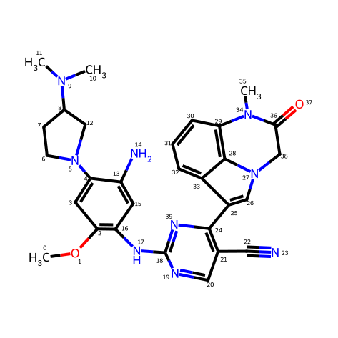 COc1cc(N2CCC(N(C)C)C2)c(N)cc1Nc1ncc(C#N)c(-c2cn3c4c(cccc24)N(C)C(=O)C3)n1